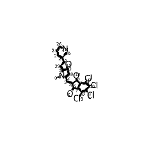 Cn1c(C=C2C(=O)c3c(Cl)c(Cl)c(Cl)c(Cl)c3C2=O)cc2oc(-c3cccnc3)cc21